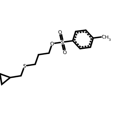 Cc1ccc(S(=O)(=O)OCCCSCC2CC2)cc1